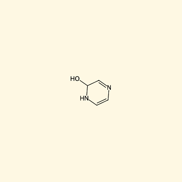 OC1C=NC=CN1